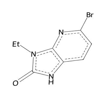 CCn1c(=O)[nH]c2ccc(Br)nc21